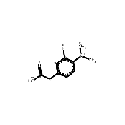 CN(C)c1ccc(CC(=O)O)cc1F